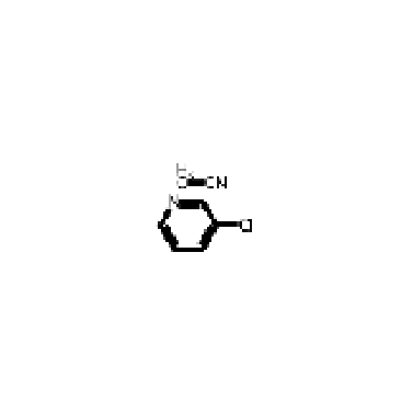 CC#N.Clc1cccnc1